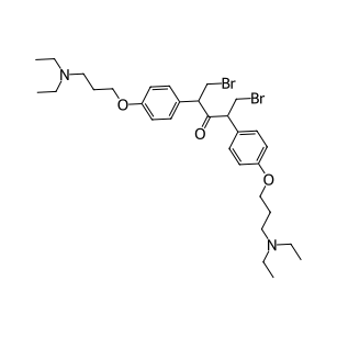 CCN(CC)CCCOc1ccc(C(CBr)C(=O)C(CBr)c2ccc(OCCCN(CC)CC)cc2)cc1